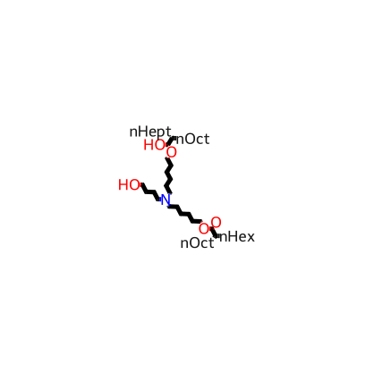 CCCCCCCCC(CCCCCC)C(=O)OCCCCCCN(CCCCO)CCCCCCOC(O)C(CCCCCCC)CCCCCCCC